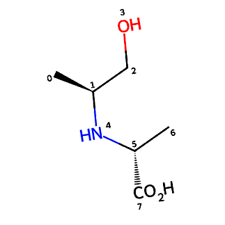 C[C@@H](CO)N[C@H](C)C(=O)O